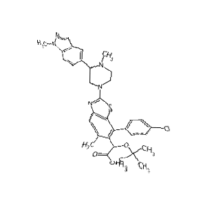 Cc1cc2nc(N3CCN(C)C(c4ccc5c(cnn5C)c4)C3)sc2c(-c2ccc(Cl)cc2)c1C(OC(C)(C)C)C(=O)O